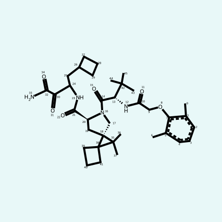 Cc1cccc(C)c1OCC(=O)N[C@H](C(=O)N1C[C@]2(C[C@H]1C(=O)NC(CC1CCC1)C(=O)C(N)=O)C(C)(C)C21CCC1)C(C)(C)C